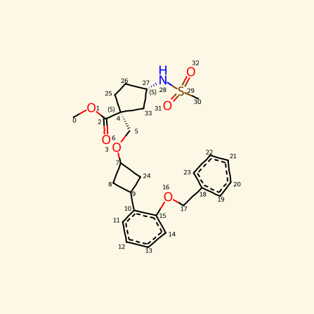 COC(=O)[C@@]1(COC2CC(c3ccccc3OCc3ccccc3)C2)CC[C@H](NS(C)(=O)=O)C1